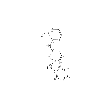 Clc1ccccc1Nc1ccc2c(c1)[nH]c1ccccc12